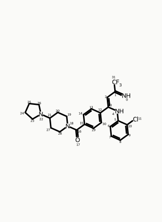 N=C(/C=C(\Nc1ccccc1Cl)c1ccc(C(=O)N2CCC(N3CCCC3)CC2)cc1)C(F)(F)F